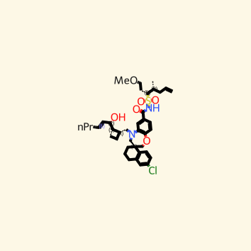 C=CC[C@@H](C)[C@@H](CCOC)S(=O)(=O)NC(=O)c1ccc2c(c1)N(C[C@@H]1CC[C@@H]1[C@@H](O)/C=C/CCC)C[C@@]1(CCCc3cc(Cl)ccc31)CO2